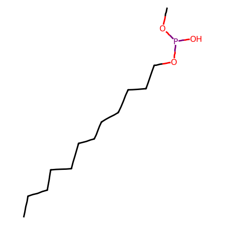 CCCCCCCCCCCCOP(O)OC